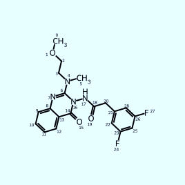 COCCN(C)c1nc2ccccc2c(=O)n1NC(=O)Cc1cc(F)cc(F)c1